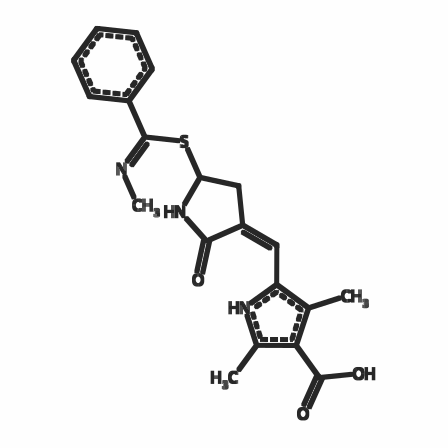 C/N=C(\SC1C/C(=C/c2[nH]c(C)c(C(=O)O)c2C)C(=O)N1)c1ccccc1